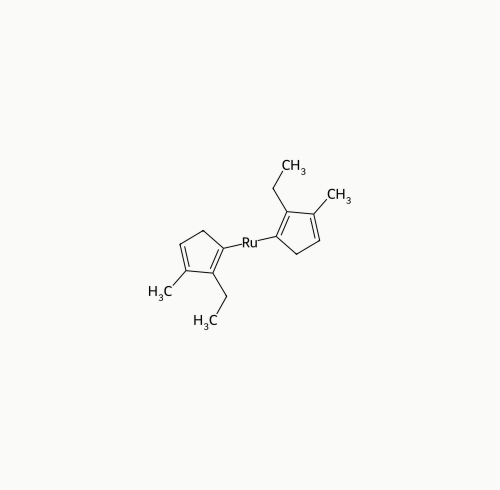 CCC1=[C]([Ru][C]2=C(CC)C(C)=CC2)CC=C1C